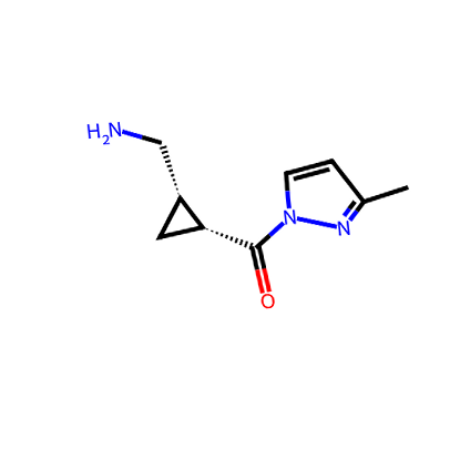 Cc1ccn(C(=O)[C@@H]2C[C@@H]2CN)n1